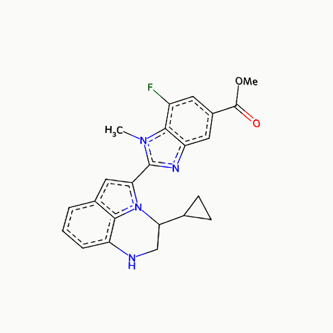 COC(=O)c1cc(F)c2c(c1)nc(-c1cc3cccc4c3n1C(C1CC1)CN4)n2C